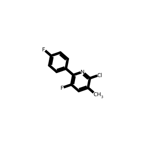 Cc1cc(F)c(-c2ccc(F)cc2)nc1Cl